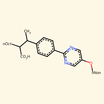 CCCCCCCCCOc1cnc(-c2ccc(C(C)C(CCCCCCCC)C(=O)O)cc2)nc1